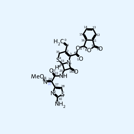 C=CC1=C(C(=O)OC2OC(=O)c3ccccc32)N2C(=O)C(NC(=O)/C(=N\OC)c3csc(N)n3)[C@H]2SC1